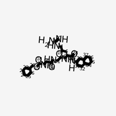 N=C(N)NCCC[C@H](NC(=O)CNC(=O)CNC(=O)OCc1ccccc1)C(=O)Nc1ccc2ccccc2c1